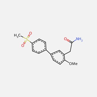 COc1ccc(-c2ccc(S(C)(=O)=O)cc2)cc1CC(N)=O